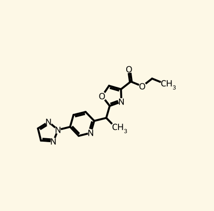 CCOC(=O)c1coc(C(C)c2ccc(-n3nccn3)cn2)n1